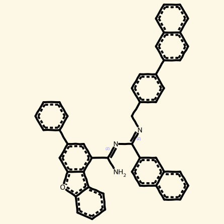 N/C(=N\C(=N/Cc1ccc(-c2ccc3ccccc3c2)cc1)c1ccc2ccccc2c1)c1cc(-c2ccccc2)cc2oc3ccccc3c12